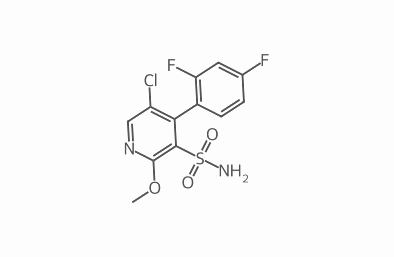 COc1ncc(Cl)c(-c2ccc(F)cc2F)c1S(N)(=O)=O